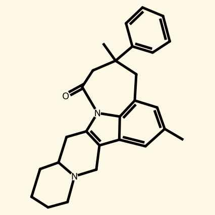 Cc1cc2c3c(c1)c1c(n3C(=O)CC(C)(c3ccccc3)C2)CC2CCCCN2C1